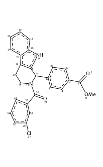 COC(=O)c1ccc(C2c3[nH]c4ccccc4c3CCN2C(=O)c2cccc(Cl)c2)cc1